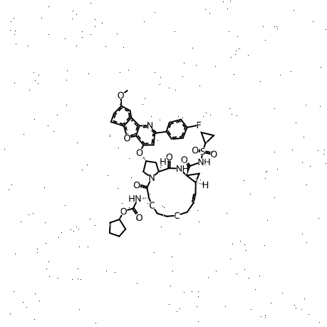 COc1ccc2oc3c(O[C@@H]4C[C@H]5C(=O)N[C@]6(C(=O)NS(=O)(=O)C7CC7)C[C@H]6/C=C\CCCCC[C@H](NC(=O)OC6CCCC6)C(=O)N5C4)cc(-c4ccc(F)cc4)nc3c2c1